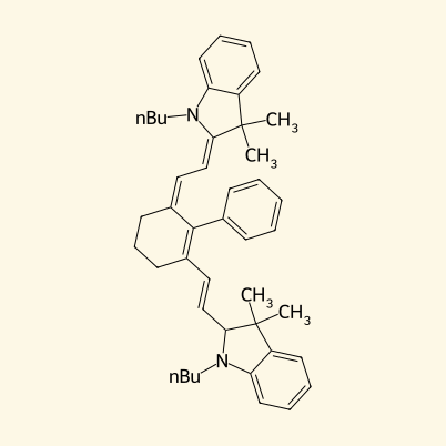 CCCCN1C(=CC=C2CCCC(C=CC3N(CCCC)c4ccccc4C3(C)C)=C2c2ccccc2)C(C)(C)c2ccccc21